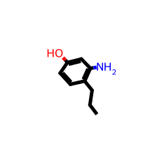 CCCc1ccc(O)cc1N